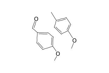 COc1ccc(C)cc1.COc1ccc(C=O)cc1